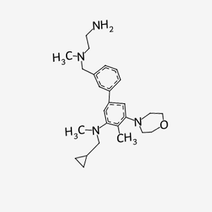 Cc1c(N(C)CC2CC2)cc(-c2cccc(CN(C)CCN)c2)cc1N1CCOCC1